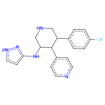 Fc1ccc(C2CNCC(Nc3cc[nH]n3)C2c2ccncc2)cc1